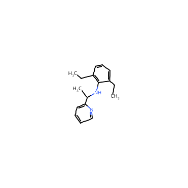 CCc1cccc(CC)c1NC(C)c1ccccn1